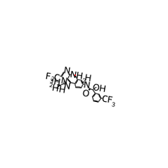 [2H]C([2H])([2H])c1nc(-c2ccc(NC(=O)[C@@H](O)c3cccc(C(F)(F)F)c3)cc2C)c2c(N)ncc(C(F)(F)F)n12